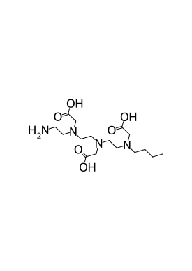 CCCCN(CCN(CCN(CCN)CC(=O)O)CC(=O)O)CC(=O)O